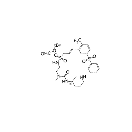 CC(C)(C)OC=O.CN(CCNS(=O)(=O)CC=Cc1cc(S(=O)(=O)c2ccccc2)ccc1C(F)(F)F)C(=O)N[C@@H]1CCCNC1